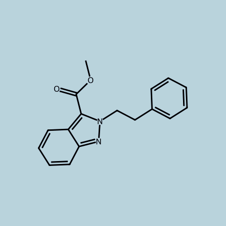 COC(=O)c1c2ccccc2nn1CCc1ccccc1